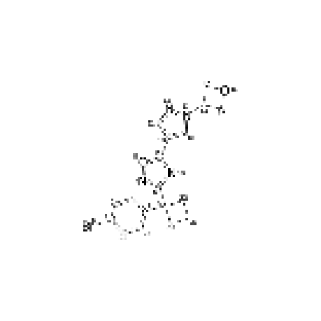 Brc1ccc(C2(c3noc(-c4cnn(C5COC5)c4)n3)CCC2)cc1